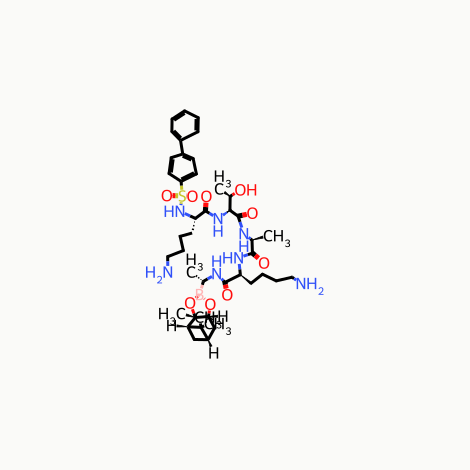 C[C@H](NC(=O)[C@H](CCCCN)NC(=O)[C@H](C)NC(=O)[C@@H](NC(=O)[C@H](CCCCN)NS(=O)(=O)c1ccc(-c2ccccc2)cc1)[C@@H](C)O)B1O[C@@H]2C[C@@H]3C[C@@H](C3(C)C)[C@]2(C)O1